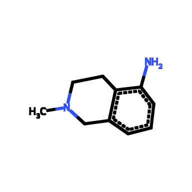 CN1CCc2c(N)cccc2C1